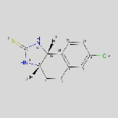 S=C1N[C@H]2CCc3cc(Cl)ccc3[C@H]2N1